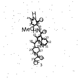 COc1cc(C)[nH]c(=O)c1CNC(=O)c1c(C)c(C(C)C2CCN(C(=O)CC(F)(F)F)CC2)n2ncccc12